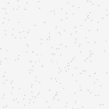 [Al].[Pd].[Pd].[Pd].[Pd].[Pd].[Pd].[Pd].[Pd].[Pd]